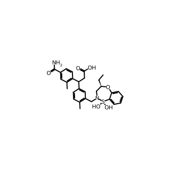 CC[C@@H]1CN(Cc2cc(C(CC(=O)O)c3ccc(C(N)=O)cc3C)ccc2C)S(O)(O)c2ccccc2O1